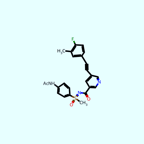 CC(=O)Nc1ccc(S(C)(=O)=NC(=O)c2cncc(C#Cc3ccc(F)c(C)c3)c2)cc1